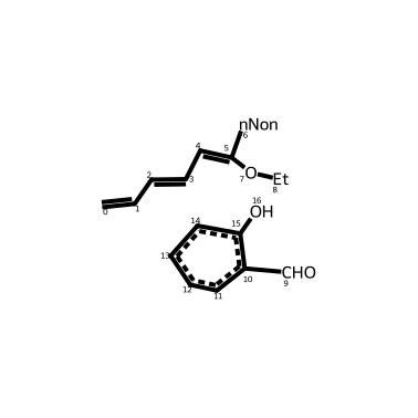 C=C/C=C/C=C(/CCCCCCCCC)OCC.O=Cc1ccccc1O